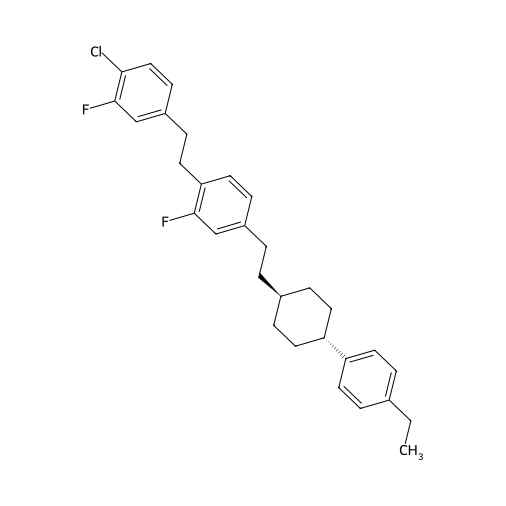 CCc1ccc([C@H]2CC[C@H](CCc3ccc(CCc4ccc(Cl)c(F)c4)c(F)c3)CC2)cc1